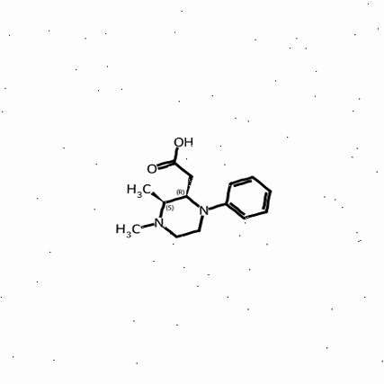 C[C@H]1[C@@H](CC(=O)O)N(c2ccccc2)CCN1C